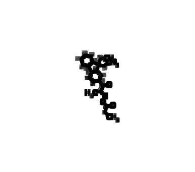 CCC(=O)O/N=C(\C)C(=O)c1ccc2c(c1)C(CC)(CC)c1ccccc1-2